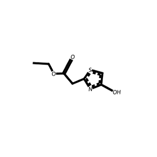 CCOC(=O)Cc1nc(O)cs1